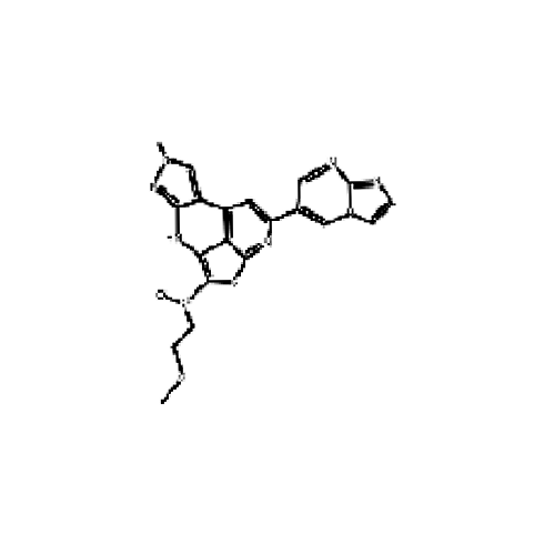 COCC[S+]([O-])c1sc2nc(-c3cnc4nccn4c3)cc3c2c1Nc1nn(C)cc1-3